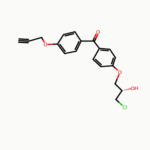 C#CCOc1ccc(C(=O)c2ccc(OC[C@H](O)CCl)cc2)cc1